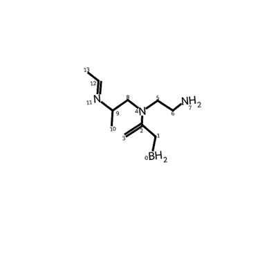 BCC(=C)N(CCN)CC(C)/N=C/C